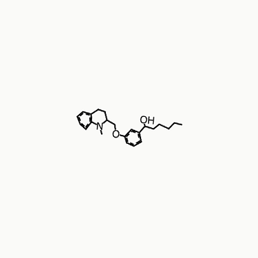 CCCCCC(O)c1cccc(OCC2CCc3ccccc3N2C)c1